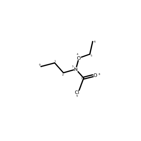 CCCN(OCC)C(=O)Cl